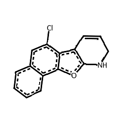 Clc1cc2ccccc2c2oc3c(c12)C=CCN3